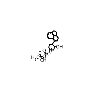 CC(C)(C)OC(=O)ON1CCC(c2ccc3c4c(cccc24)CC3)C(O)C1